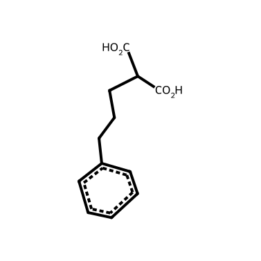 O=C(O)C(CCCc1ccccc1)C(=O)O